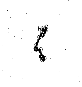 O=C1NC(=O)/C(=C\c2ccc(OCCCCCOc3cccc(C(=O)/C=C/c4ccc5c(c4)OCO5)c3)cc2)S1